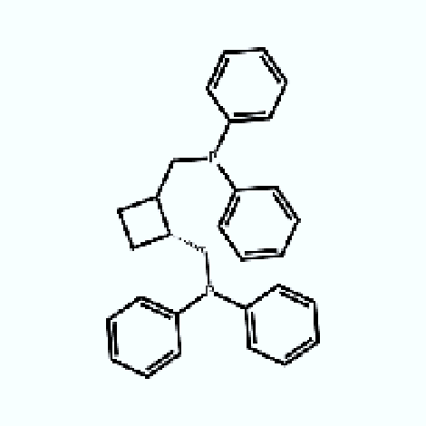 c1ccc(P(CC2CC[C@H]2CP(c2ccccc2)c2ccccc2)c2ccccc2)cc1